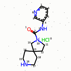 Cl.O=C(Nc1cccnc1)N1CCC2(CCNCC2)C1